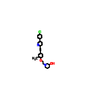 Cc1cc(C#Cc2ccc(-c3ccc(Cl)cc3)cn2)ccc1OCCN1CCCC(O)C1